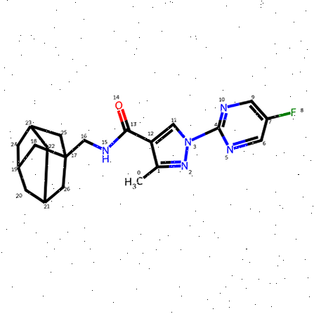 Cc1nn(-c2ncc(F)cn2)cc1C(=O)NCC12CC3CC(CC(C3)C1)C2